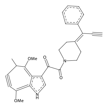 C#CC(=C1CCN(C(=O)C(=O)c2c[nH]c3c2=C(OC)C(C)C#CC=3OC)CC1)c1ccccc1